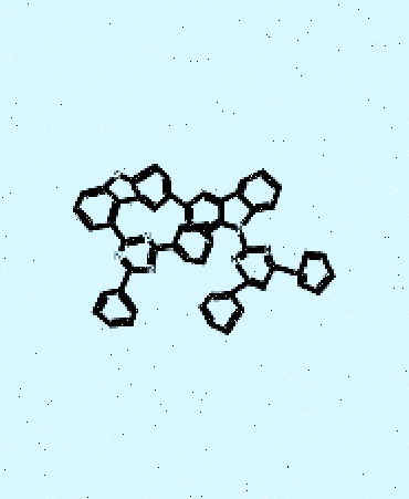 c1ccc(-c2cc(-c3ccccc3)nc(-n3c4ccccc4c4cc(-c5ccc6sc7cccc(-c8nc(-c9ccccc9)nc(-c9ccccc9)n8)c7c6c5)ccc43)n2)cc1